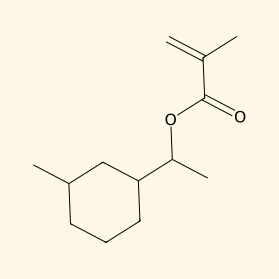 C=C(C)C(=O)OC(C)C1CCCC(C)C1